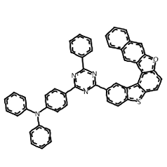 c1ccc(-c2nc(-c3ccc(N(c4ccccc4)c4ccccc4)cc3)nc(-c3ccc4sc5ccc6oc7cc8ccccc8cc7c6c5c4c3)n2)cc1